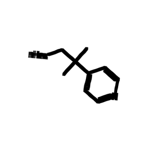 CCCCCCCC(C)(C)c1ccncc1